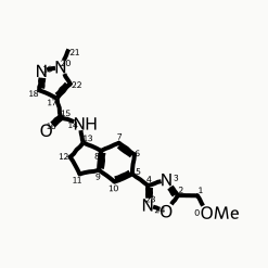 COCc1nc(-c2ccc3c(c2)CCC3NC(=O)c2cnn(C)c2)no1